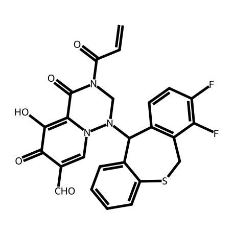 C=CC(=O)N1CN(C2c3ccccc3SCc3c2ccc(F)c3F)n2cc(C=O)c(=O)c(O)c2C1=O